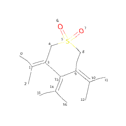 CC(C)=C1CS(=O)(=O)CC(=C(C)C)C1=C(C)C